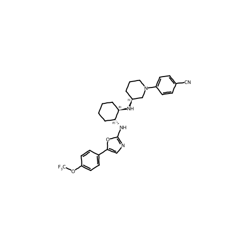 N#Cc1ccc(N2CCC[C@H](N[C@@H]3CCCC[C@H]3Nc3ncc(-c4ccc(OC(F)(F)F)cc4)o3)C2)cc1